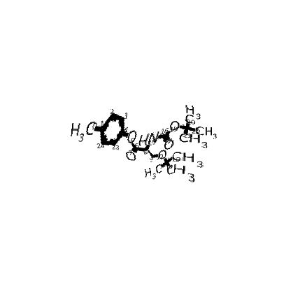 Cc1ccc(OC(=O)[C@H](COC(C)(C)C)NC(=O)OC(C)(C)C)cc1